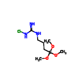 CO[Si](CCCNC(=N)NCl)(OC)OC